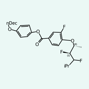 CCCCCCCCCCOc1ccc(OC(=O)c2ccc(O[C@H](C)[C@H](F)C(F)C(C)C)c(F)c2)cc1